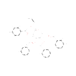 C/C=C\O[C@H]1O[C@H](COCc2ccccc2)[C@@H](OCc2ccccc2)[C@H](OCc2ccccc2)[C@@H]1OCc1ccccc1